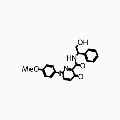 COc1ccc(-n2ccc(=O)c(C(=O)NC(CO)c3ccccc3)n2)cc1